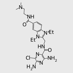 CCn1c(CNC(=O)c2nc(Cl)c(N)nc2N)[n+](CC)c2ccc(C(=O)NCCN(C)C)cc21